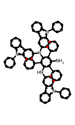 Nc1c(-c2ccccc2)c(Nc2ccc3c(c2)c2ccccc2n3-c2ccccc2)c(-c2ccccc2)c(N(c2ccc3c(c2)c2ccccc2n3-c2ccccc2)c2ccc3c(c2)c2ccccc2n3-c2ccccc2)c1-c1ccccc1